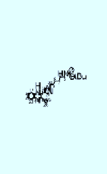 CC(C)(C)OC(=O)NCCCCCCn1cc(C2Nc3ccccc3N=C2C2CC2)cn1